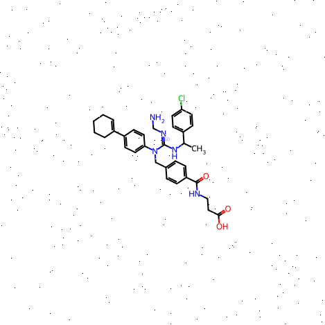 CC(N/C(=N/CN)N(Cc1ccc(C(=O)NCCC(=O)O)cc1)c1ccc(C2=CCCCC2)cc1)c1ccc(Cl)cc1